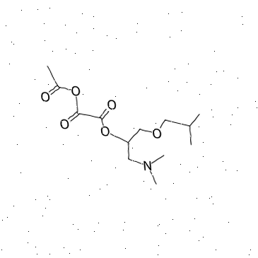 CC(=O)OC(=O)C(=O)OC(COCC(C)C)CN(C)C